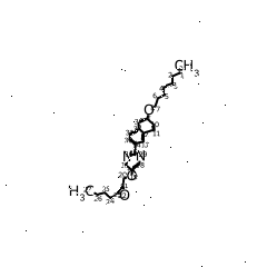 CCCCCCCCOc1ccc2cc(-c3ncc(OCC4OC4CCCC)cn3)ccc2c1